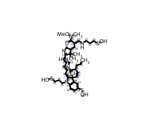 C=C/C=C(\C=C/C1(C)\C(=C/C=C/C=C/C2=NC/C(=C\C(=C/NCCCSO)C(=O)N(C)OC)C2(C)C)N(CCCSO)c2ccc(SO)cc21)C(=O)NCN